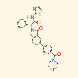 O=C(Nc1nccs1)C(c1ccccc1)N1Cc2ccc(-c3ccc(C(=O)N4CCOCC4)cc3)cc2C1=O